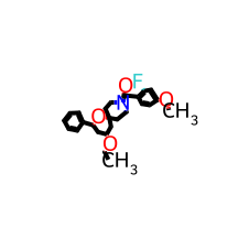 CCOC1CC(c2ccccc2)OC2(CCN(C(=O)c3ccc(OC)cc3F)CC2)C1